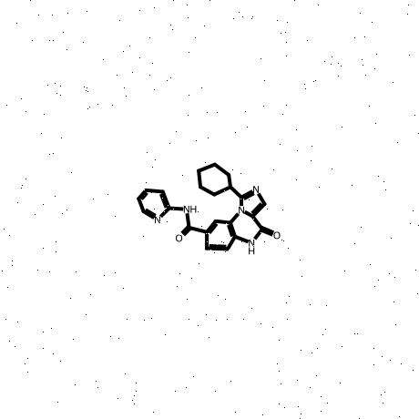 O=C(Nc1ccccn1)c1ccc2[nH]c(=O)c3cnc(C4CCCCC4)n3c2c1